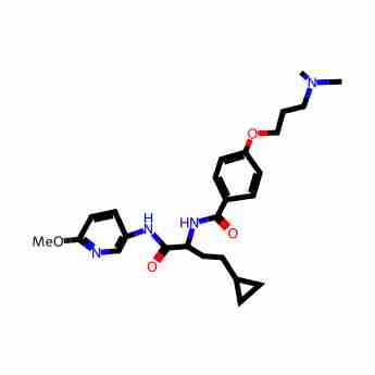 COc1ccc(NC(=O)C(CCC2CC2)NC(=O)c2ccc(OCCCN(C)C)cc2)cn1